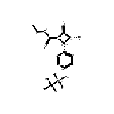 CCOC(=O)N1C(=O)[C@H](O)[C@@H]1c1ccc(O[Si](C)(C)C(C)(C)C)cc1